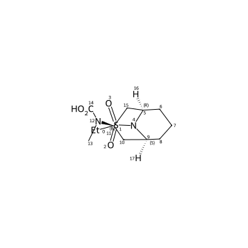 CCS(=O)(=O)N1[C@@H]2CCC[C@H]1C[C@@H](N(C)C(=O)O)C2